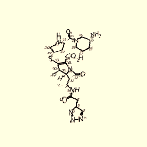 C[C@@H](NC(=O)CC1C=NN=N1)[C@H]1C(=O)N2C(C(=O)O)=C(S[C@@H]3CN[C@H](C(=O)N4CCC[C@@H](N)C4)C3)[C@H](C)[C@H]12